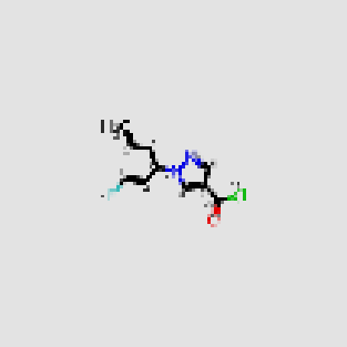 C=CCC(C=CF)n1cc(C(=O)Cl)cn1